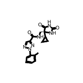 Cc1ccccc1-n1ncc(C(=O)NC[C@@]2(C3CC3)NC(=O)NC2=O)n1